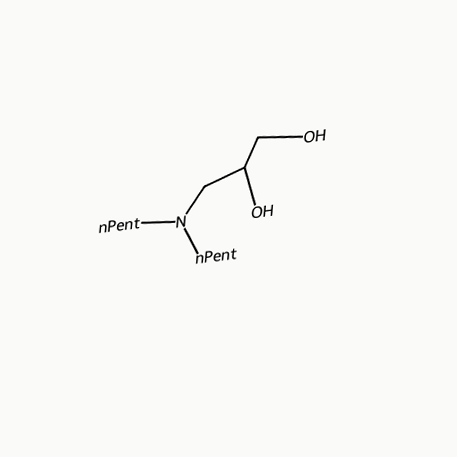 CCCCCN(CCCCC)CC(O)CO